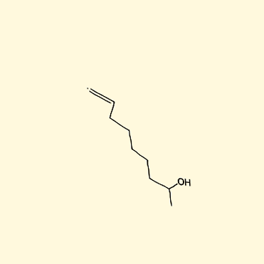 [CH]=CCCCCCC(C)O